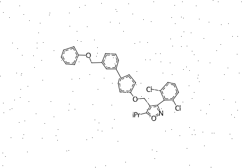 CC(C)c1onc(-c2c(Cl)cccc2Cl)c1COc1ccc(-c2cccc(COc3ccccc3)c2)cc1